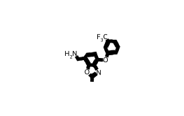 Cc1nc2c(Oc3cccc(C(F)(F)F)c3)ccc(CN)c2o1